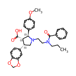 CCCN(CCN1C[C@H](c2ccc3c(c2)OCO3)[C@H](C(=O)O)[C@H]1c1ccc(OC)cc1)C(=O)c1ccccc1